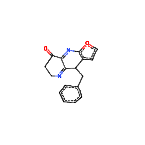 O=C1CCN=C2C1=Nc1occc1C2Cc1ccccc1